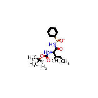 CCC(C)C(NC(=O)OC(C)(C)C)C(=O)N[S+]([O-])c1ccccc1